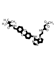 CC(C)(C)C(=O)NCc1cccc(Oc2ccc(Nc3ncnc4ccn(CCNC(=O)CS(C)(=O)=O)c34)cc2Cl)c1